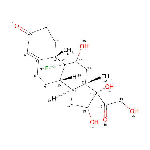 C[C@]12CCC(=O)C=C1CC[C@H]1[C@@H]3CC(O)[C@](O)(C(=O)CO)[C@@]3(C)CC(O)[C@@]12F